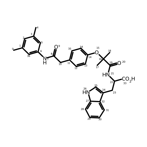 Cc1cc(C)cc(NC(=O)Cc2ccc(OC(C)(C)C(=O)NC(Cc3c[nH]c4ccccc34)C(=O)O)cc2)c1